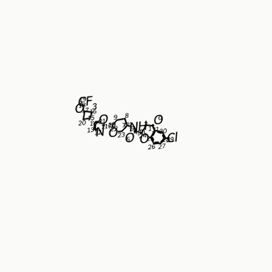 O=C1C[C@H](C(=O)N[C@@H]2CC[C@@H](c3ncc([C@H]4C[C@@H](OC(F)(F)F)C4)o3)OC2)Oc2ccc(Cl)cc21